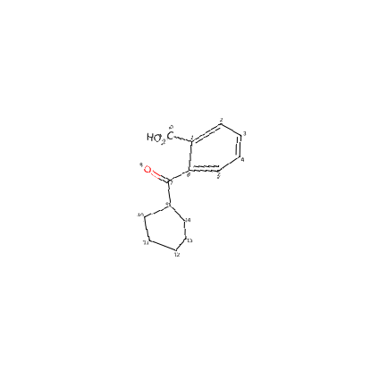 O=C(O)c1ccccc1C(=O)C1CCCCC1